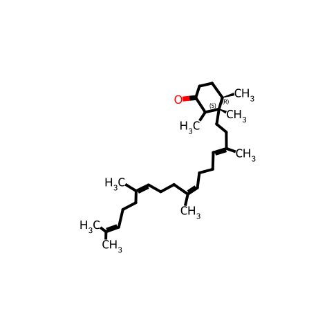 CC(C)=CCCC(C)=CCCC(C)=CCCC=C(C)CC[C@]1(C)C(C)C(=O)CC[C@H]1C